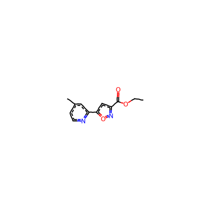 CCOC(=O)c1cc(-c2cc(C)ccn2)on1